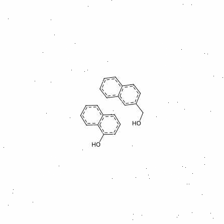 OCc1ccc2ccccc2c1.Oc1cccc2ccccc12